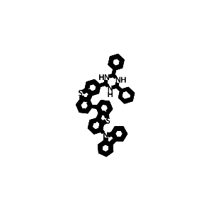 C1=CCC(C2NC(c3ccccc3)NC(c3ccc4sc5cccc(-c6cccc7sc8c(-n9c%10ccccc%10c%10ccccc%109)cccc8c67)c5c4c3)N2)C=C1